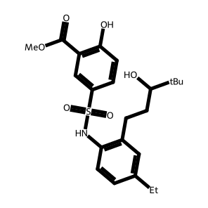 CCc1ccc(NS(=O)(=O)c2ccc(O)c(C(=O)OC)c2)c(CCC(O)C(C)(C)C)c1